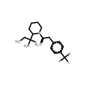 CCC(C)(N)C1CCCCN1C(=O)Cc1ccc(C(F)(F)F)cc1